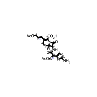 CC(=O)OC/C=C/C1=C(C(=O)O)N2C(=O)[C@@H](NC(=O)/C(=N\OC(C)=O)c3csc(N)n3)[C@H]2SC1